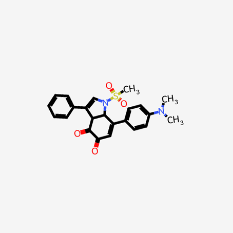 CN(C)c1ccc(C2=CC(=O)C(=O)C3C(c4ccccc4)=CN(S(C)(=O)=O)C23)cc1